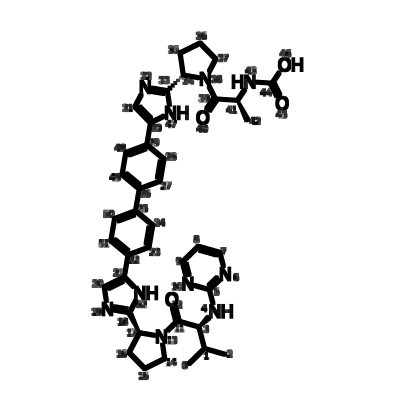 CC(C)[C@H](Nc1ncccn1)C(=O)N1CCC[C@H]1c1ncc(-c2ccc(-c3ccc(-c4cnc([C@@H]5CCCN5C(=O)[C@H](C)NC(=O)O)[nH]4)cc3)cc2)[nH]1